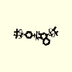 C=C1OB(c2cc3nn(-c4ccc(B5OC(C)(C)C(C)(C)O5)cc4)nc3c3ccccc23)OC1(C)C